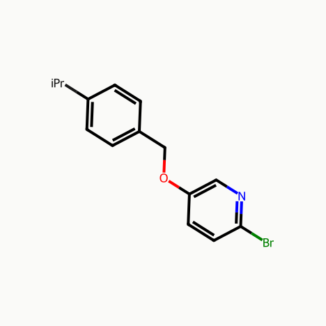 CC(C)c1ccc(COc2ccc(Br)nc2)cc1